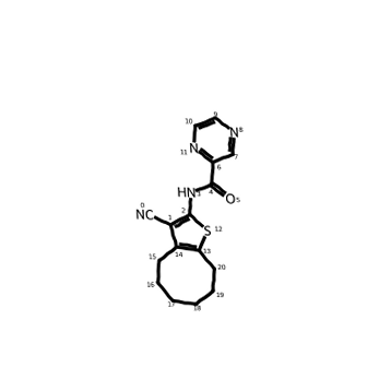 N#Cc1c(NC(=O)c2cnccn2)sc2c1CCCCCC2